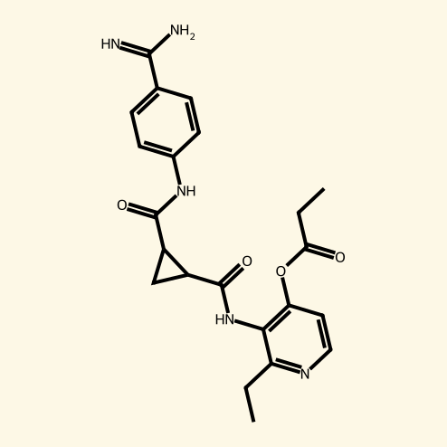 CCC(=O)Oc1ccnc(CC)c1NC(=O)C1CC1C(=O)Nc1ccc(C(=N)N)cc1